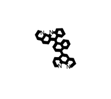 c1cnc2c(c1)cc(-c1ccc(-c3c4ccccc4nc4c3ccc3cccnc34)c3ccccc13)c1cccnc12